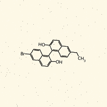 CCc1ccc2c(-c3c(O)ccc4cc(Br)ccc34)c(O)ccc2c1